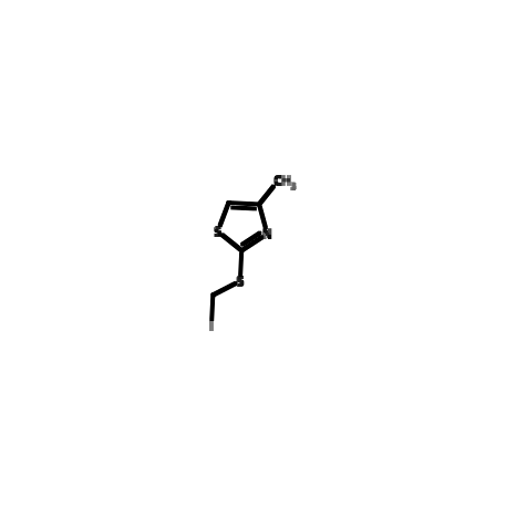 Cc1csc(SCI)n1